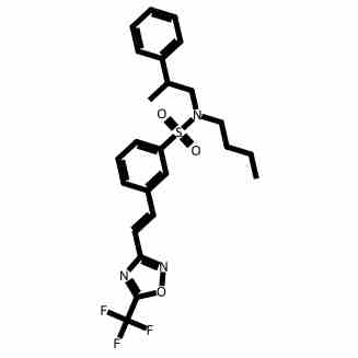 CCCCN(CC(C)c1ccccc1)S(=O)(=O)c1cccc(C=Cc2noc(C(F)(F)F)n2)c1